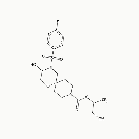 O=C(OC(CO)C(F)(F)F)N1CCC2(CC1)CN(S(=O)(=O)c1ccc(F)cc1)C(O)CO2